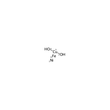 [Fe].[Ni].[OH][Cu][OH]